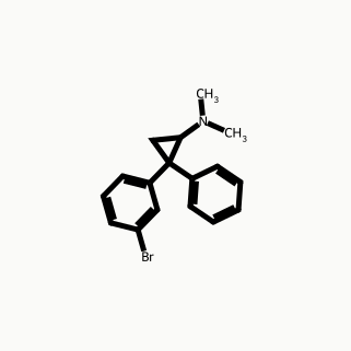 CN(C)C1CC1(c1ccccc1)c1cccc(Br)c1